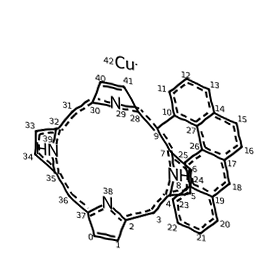 C1=Cc2cc3ccc([nH]3)c(-c3cccc4ccc5cc6ccccc6cc5c34)c3nc(cc4ccc(cc1n2)[nH]4)C=C3.[Cu]